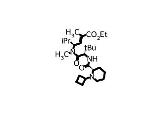 CCOC(=O)/C(C)=C/[C@H](C(C)C)N(C)C(=O)[C@@H](NC(=O)[C@H]1CCCCN1C1CCC1)C(C)(C)C